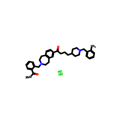 COC(=O)c1ccccc1CN1CCc2ccc(C(=O)CCCC3CCN(Cc4ccccc4C)CC3)cc2CC1.Cl.Cl